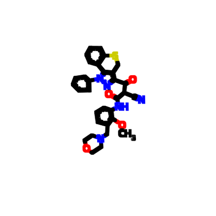 COc1c(CN2CCOCC2)cccc1NC(=O)C(C#N)C(=O)c1nn(-c2ccccc2)c2c1CSc1ccccc1-2